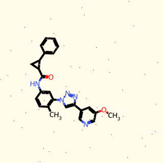 COc1cncc(-c2cn(-c3cc(NC(=O)C4CC4c4ccccc4)ccc3C)nn2)c1